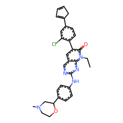 CCn1c(=O)c(-c2ccc(C3=CC=CC3)cc2Cl)cc2cnc(Nc3ccc(C4CN(C)CCO4)cc3)nc21